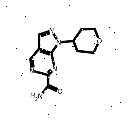 NC(=O)c1ncc2cnn(C3CCOCC3)c2n1